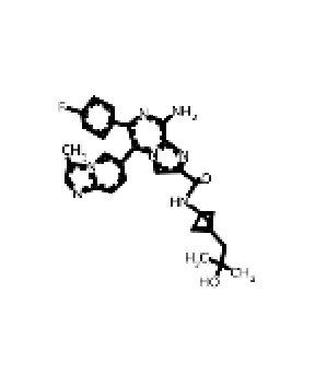 Cc1cnc2ccc(-c3c(-c4ccc(F)cc4)nc(N)c4nc(C(=O)NC56CC(CC(C)(C)O)(C5)C6)cn34)cn12